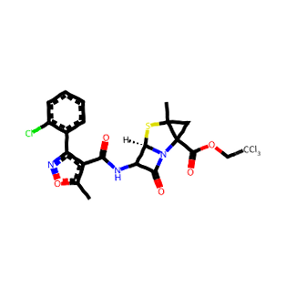 Cc1onc(-c2ccccc2Cl)c1C(=O)NC1C(=O)N2[C@@H]1SC1(C)CC21C(=O)OCC(Cl)(Cl)Cl